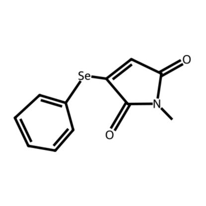 CN1C(=O)C=C([Se]c2ccccc2)C1=O